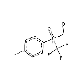 O=C[SH](=O)(c1ccc(I)cc1)C(F)(F)F